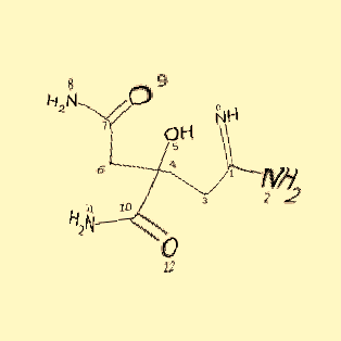 N=C(N)CC(O)(CC(N)=O)C(N)=O